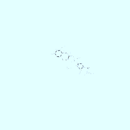 CCN(C)C(=O)c1cc(S(=O)(=O)NC(=O)Nc2c(C(C)C)cc(F)cc2C(C)C)nn1C.[Na]